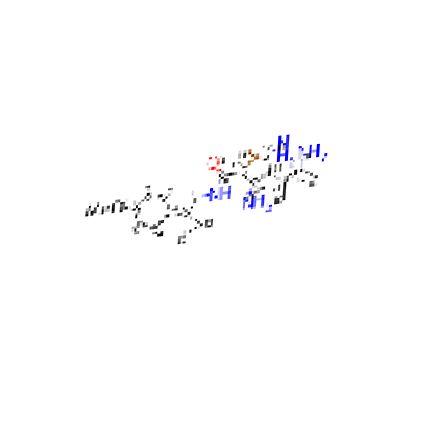 COc1ccc(C2(CNC(=O)c3sc(N)c(/C(C)=C(/C)N)c3N)CC2)cc1